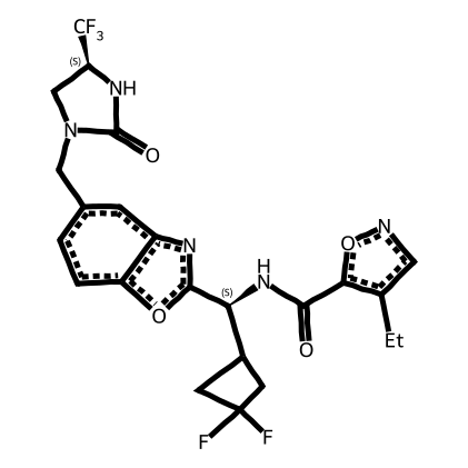 CCc1cnoc1C(=O)N[C@H](c1nc2cc(CN3C[C@@H](C(F)(F)F)NC3=O)ccc2o1)C1CC(F)(F)C1